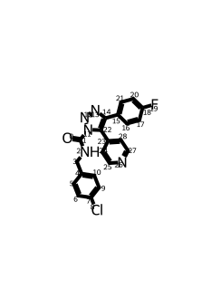 O=C(NCc1ccc(Cl)cc1)n1nnc(-c2ccc(F)cc2)c1-c1ccncc1